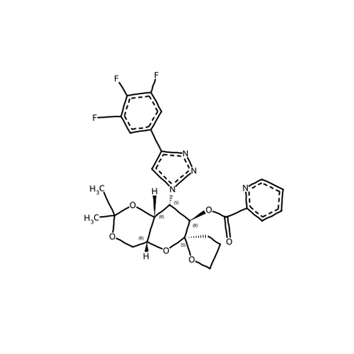 CC1(C)OC[C@H]2O[C@@]3(CCCO3)[C@H](OC(=O)c3ccccn3)[C@@H](n3cc(-c4cc(F)c(F)c(F)c4)nn3)[C@H]2O1